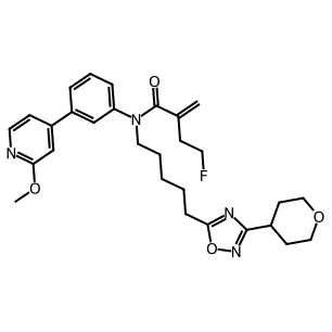 C=C(CCF)C(=O)N(CCCCCc1nc(C2CCOCC2)no1)c1cccc(-c2ccnc(OC)c2)c1